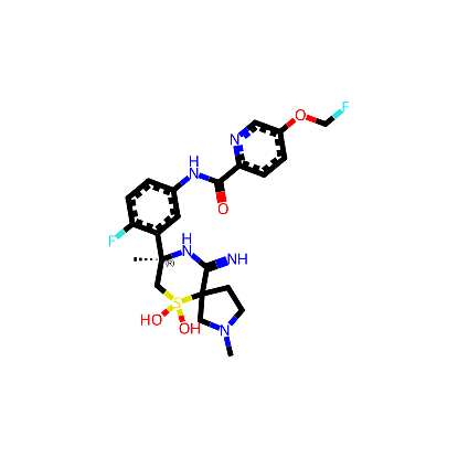 CN1CCC2(C1)C(=N)N[C@](C)(c1cc(NC(=O)c3ccc(OCF)cn3)ccc1F)CS2(O)O